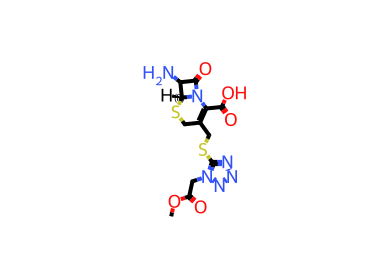 COC(=O)Cn1nnnc1SCC1=C(C(=O)O)N2C(=O)C(N)[C@H]2SC1